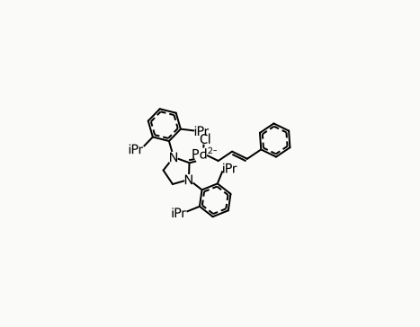 CC(C)c1cccc(C(C)C)c1N1CCN(c2c(C(C)C)cccc2C(C)C)[C]1=[Pd-2]([Cl])[CH2]C=Cc1ccccc1